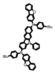 CC(C)(C)c1ccc(N(c2ccc3cc4c5ccc(N(c6ccc(C(C)(C)C)cc6)c6ccc7c(c6)oc6ccccc67)cc5n(-c5ccccc5)c4cc3c2)c2ccc3c(c2)oc2ccccc23)cc1